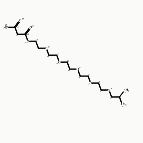 CC(C)COCCOCCOCCOCCOCCOC(=O)CC(=O)O